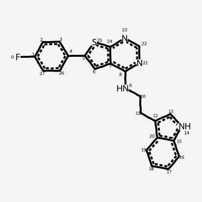 Fc1ccc(-c2cc3c(NCCc4c[nH]c5ccccc45)ncnc3s2)cc1